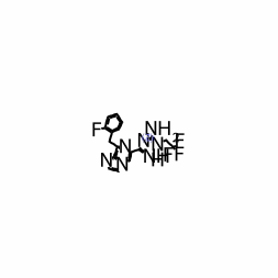 N=C(/N=C(/N)NCC(F)(F)F)c1cn2ccnc2c(Cc2ccccc2F)n1